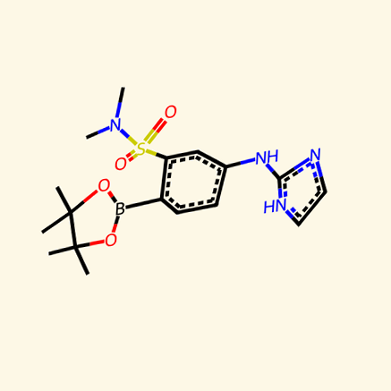 CN(C)S(=O)(=O)c1cc(Nc2ncc[nH]2)ccc1B1OC(C)(C)C(C)(C)O1